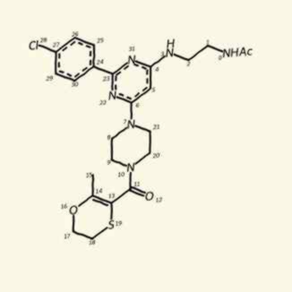 CC(=O)NCCNc1cc(N2CCN(C(=O)C3=C(C)OCCS3)CC2)nc(-c2ccc(Cl)cc2)n1